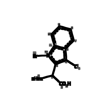 CCCCCCC(C(=O)O)c1c(Cl)c2ccccc2n1Br